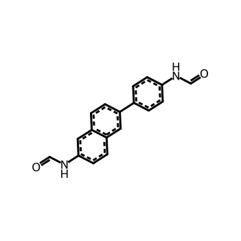 O=CNc1ccc(-c2ccc3cc(NC=O)ccc3c2)cc1